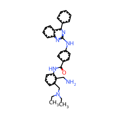 CCN(CC)Cc1cccc(NC(=O)c2ccc(Nc3nc(-c4ccccc4)c4ccccc4n3)cc2)c1CN